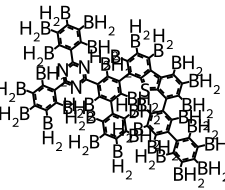 Bc1c(B)c(B)c(-c2nc(-c3c(B)c(B)c(B)c(B)c3B)nc(-c3c(B)c(-c4c(B)c(B)c(B)c(B)c4B)c(B)c(-c4c(B)c(B)c(B)c5c4sc4c(-c6c(B)c(B)c(B)c(-c7c(B)c(B)c(B)c(B)c7B)c6B)c(B)c(B)c(B)c45)c3B)n2)c(B)c1B